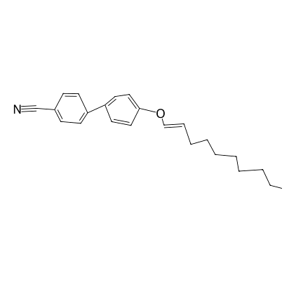 CCCCCCCCC=COc1ccc(-c2ccc(C#N)cc2)cc1